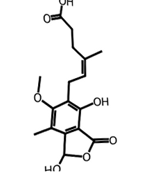 COc1c(C)c2c(c(O)c1CC=C(C)CCC(=O)O)C(=O)OC2O